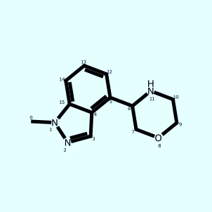 Cn1ncc2c(C3COCCN3)cccc21